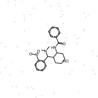 CN(C)C(c1ccccc1[N+](=O)[O-])C1CCCCC1NC(=O)c1ccccc1.Cl